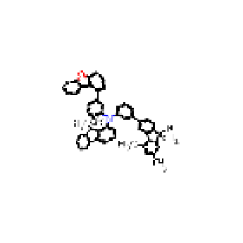 Cc1cc(C)c2c(c1)C(C)(C)c1ccc(-c3cccc(N(c4cccc(-c5cccc6oc7ccccc7c56)c4)c4cccc5c4C(C)(C)c4ccccc4-5)c3)cc1-2